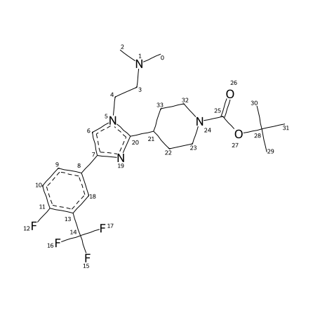 CN(C)CCn1cc(-c2ccc(F)c(C(F)(F)F)c2)nc1C1CCN(C(=O)OC(C)(C)C)CC1